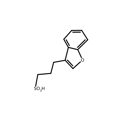 O=S(=O)(O)CCCc1coc2ccccc12